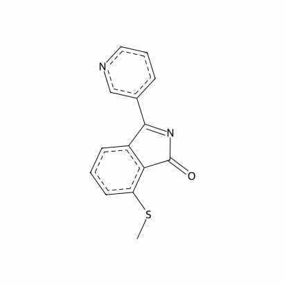 CSc1cccc2c1C(=O)N=C2c1cccnc1